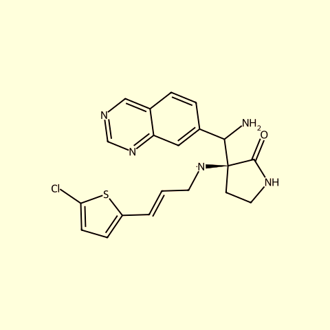 NC(c1ccc2cncnc2c1)[C@@]1([N]CC=Cc2ccc(Cl)s2)CCNC1=O